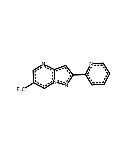 FC(F)(F)c1cnc2cc(-c3ccccn3)nn2c1